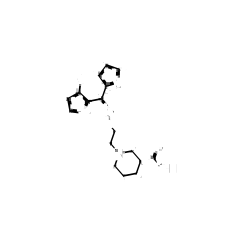 Cc1ccsc1C(=NOCCN1CCC[C@@H](C(=O)O)C1)c1cccs1